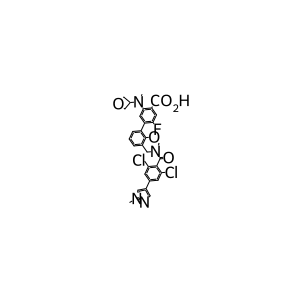 CN(c1cc(-c2cccc3c2OCN(C(=O)c2c(Cl)cc(-c4cnn(C)c4)cc2Cl)C3)c(F)cc1C(=O)O)C1COC1